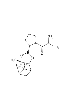 CC(N)C(=O)N1CCCC1B1OC2C3CC(C[C@]2(C)O1)C3(C)C